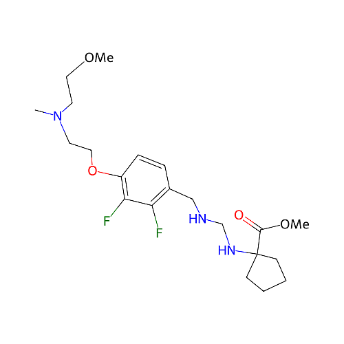 COCCN(C)CCOc1ccc(CNCNC2(C(=O)OC)CCCC2)c(F)c1F